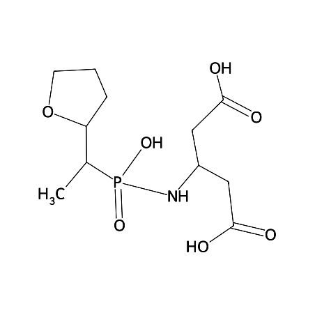 CC(C1CCCO1)P(=O)(O)NC(CC(=O)O)CC(=O)O